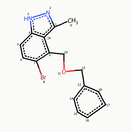 Cc1n[nH]c2ccc(Br)c(COCc3ccccc3)c12